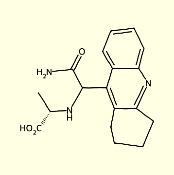 C[C@H](NC(C(N)=O)c1c2c(nc3ccccc13)CCCC2)C(=O)O